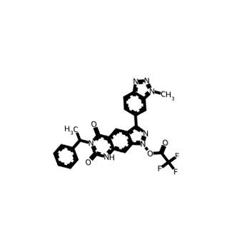 CC(c1ccccc1)n1c(=O)[nH]c2cc3c(cc2c1=O)c(-c1ccc2nnn(C)c2c1)nn3OC(=O)C(F)(F)F